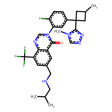 CC(C)CNCc1cc(C(F)(F)F)c2ncn(-c3cc(C4(c5nncn5C)CC(C)C4)ccc3F)c(=O)c2c1